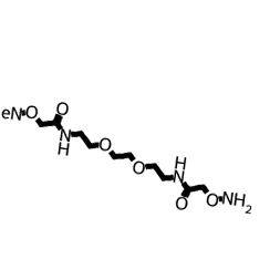 CNOCC(=O)NCCOCCOCCNC(=O)CON